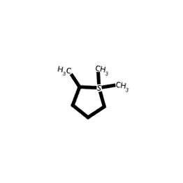 CC1CCCS1(C)C